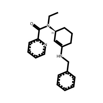 CCN(C(=O)c1ccccn1)[C@@H]1C=C(NCc2ccccc2)CCC1